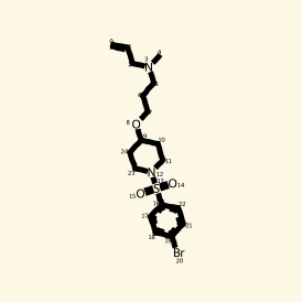 C=CCN(C)CCCOC1CCN(S(=O)(=O)c2ccc(Br)cc2)CC1